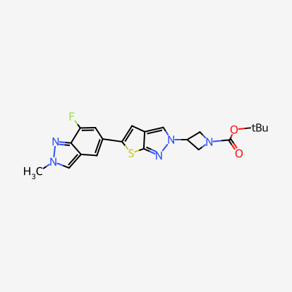 Cn1cc2cc(-c3cc4cn(C5CN(C(=O)OC(C)(C)C)C5)nc4s3)cc(F)c2n1